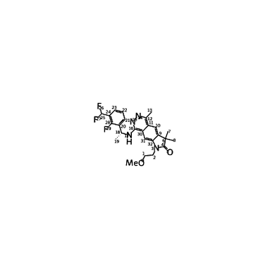 COCCN1C(=O)C(C)(C)c2cc3c(C)nnc(N[C@H](C)c4cccc(C(F)F)c4F)c3cc21